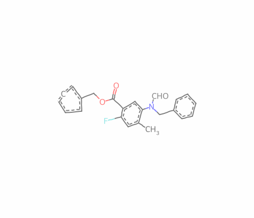 Cc1cc(F)c(C(=O)OCc2ccccc2)cc1N(C=O)Cc1ccccc1